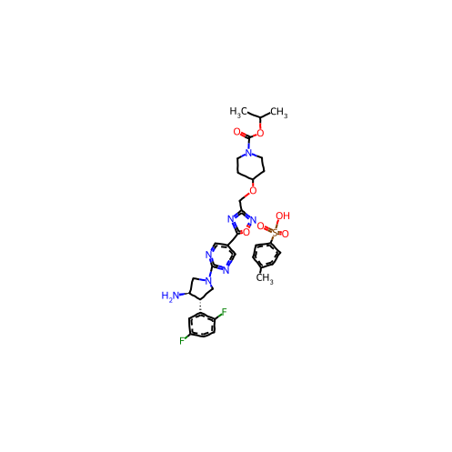 CC(C)OC(=O)N1CCC(OCc2noc(-c3cnc(N4C[C@H](c5cc(F)ccc5F)[C@@H](N)C4)nc3)n2)CC1.Cc1ccc(S(=O)(=O)O)cc1